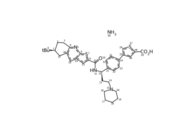 CC(C)(C)[C@H]1CCc2nc3sc(C(=O)N[C@H](CCN4CCCCC4)c4ccc(-c5csc(C(=O)O)c5)cc4)cc3cc2C1.N